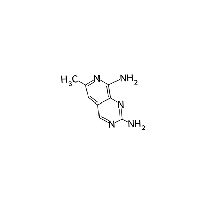 Cc1cc2cnc(N)nc2c(N)n1